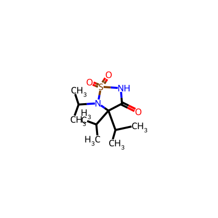 CC(C)N1C(C(C)C)(C(C)C)C(=O)NS1(=O)=O